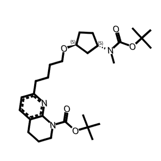 CN(C(=O)OC(C)(C)C)[C@H]1CC[C@H](OCCCCc2ccc3c(n2)N(C(=O)OC(C)(C)C)CCC3)C1